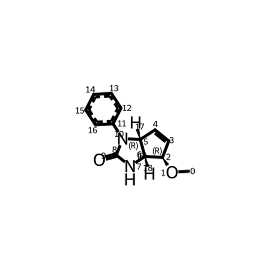 CO[C@@H]1C=C[C@@H]2[C@H]1NC(=O)N2c1ccccc1